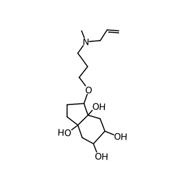 C=CCN(C)CCCOC1CCC2(O)CC(O)C(O)CC12O